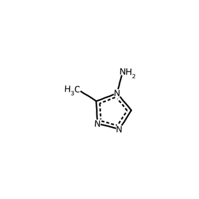 Cc1nncn1N